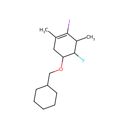 CC1=C(I)C(C)C(F)C(OCC2CCCCC2)C1